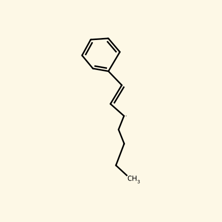 CCCC[CH]C=Cc1ccccc1